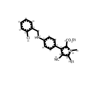 CCOC(=O)c1c(-c2ccc(NCc3ccccc3Cl)cc2)c(C#N)c(CC)n1C